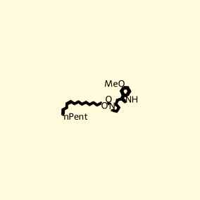 CCCCC/C=C\C/C=C\CCCCCCCCOC(=O)N1CCCC1Cc1c[nH]c2ccc(OC)cc12